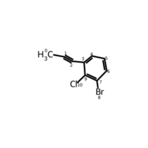 CC#Cc1cccc(Br)c1Cl